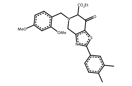 CCOC(=O)C1C(=O)c2sc(-c3ccc(C)c(C)c3)nc2CN1Cc1ccc(OC)cc1OC